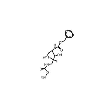 CC(C)CC(NC(=O)OCc1ccccc1)C(O)C(F)(F)CNC(=O)OC(C)(C)C